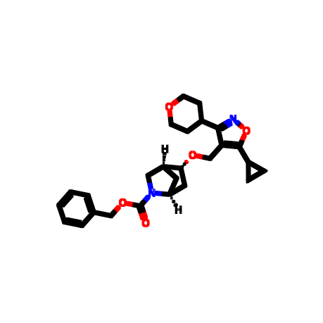 O=C(OCc1ccccc1)N1C[C@@H]2C[C@H]1C[C@H]2OCc1c(C2CCOCC2)noc1C1CC1